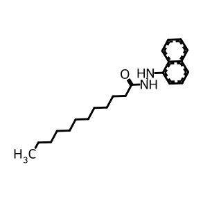 CCCCCCCCCCCC(=O)NNc1cccc2ccccc12